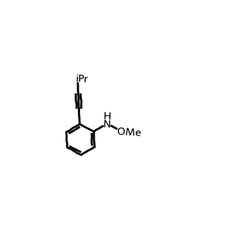 CONc1ccccc1C#CC(C)C